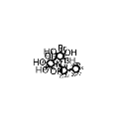 Bc1c(O)c(Br)c(O)c2c3c(O)c(O)c(O)c(O)c3n(-c3cccc(-c4ccccc4)c3)c12